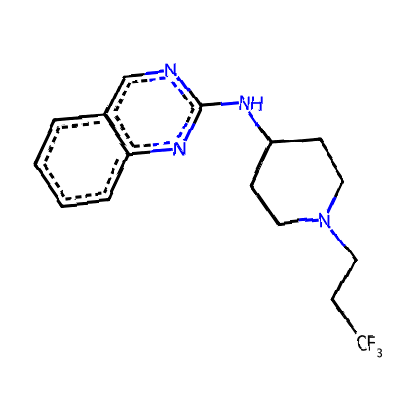 FC(F)(F)CCN1CCC(Nc2ncc3ccccc3n2)CC1